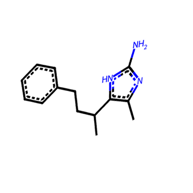 Cc1nc(N)[nH]c1C(C)CCc1ccccc1